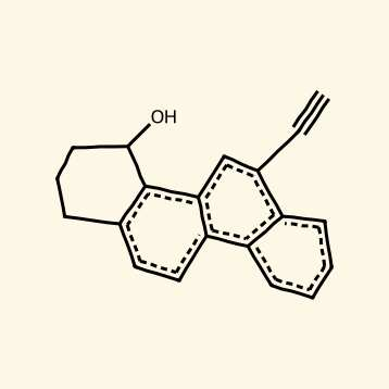 C#Cc1cc2c3c(ccc2c2ccccc12)CCCC3O